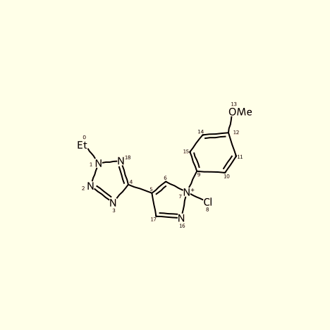 CCn1nnc(C2=C[N+](Cl)(c3ccc(OC)cc3)N=C2)n1